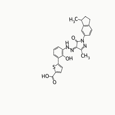 CC1=NN(c2ccc3c(c2)C(C)CC3)C(=O)/C1=N\Nc1cccc(-c2ccc(C(=O)O)s2)c1O